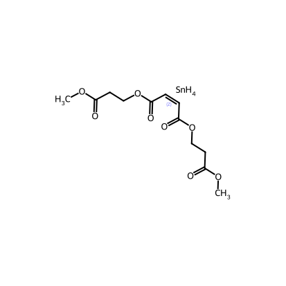 COC(=O)CCOC(=O)/C=C\C(=O)OCCC(=O)OC.[SnH4]